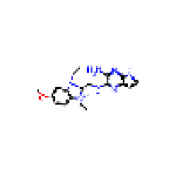 CCN1c2cc(OC)ccc2[N+](C)(CC)C1CNc1nc2cc[nH]c2nc1N